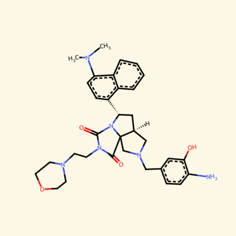 CN(C)c1ccc([C@@H]2C[C@H]3CN(Cc4ccc(N)c(O)c4)CC34C(=O)N(CCN3CCOCC3)C(=O)N24)c2ccccc12